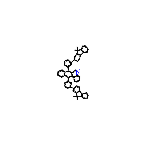 CC1(C)c2ccccc2-c2ccc(-c3cccc(-c4c5ccccc5c(-c5cccc(-c6ccc7c(c6)C(C)(C)c6ccccc6-7)c5)c5c4cnc4ccccc45)c3)cc21